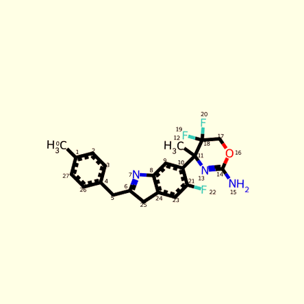 Cc1ccc(CC2=Nc3cc(C4(C)N=C(N)OCC4(F)F)c(F)cc3C2)cc1